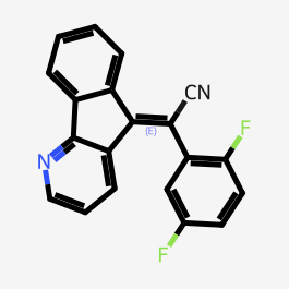 N#C/C(=C1\c2ccccc2-c2ncccc21)c1cc(F)ccc1F